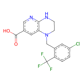 O=C(O)c1cnc2c(c1)N(Cc1cc(Cl)ccc1C(F)(F)F)CCN2